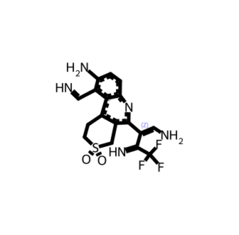 N=Cc1c(N)ccc2nc(/C(=C/N)C(=N)C(F)(F)F)c3c(c12)CCS(=O)(=O)C3